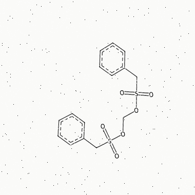 O=S(=O)(Cc1ccccc1)OCOS(=O)(=O)Cc1ccccc1